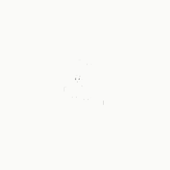 [O]=[Mn](=[O])([F])([F])([F])([F])([O]F)[O]F